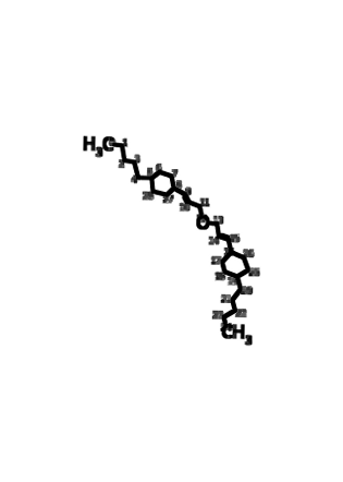 CCCCCC1CCC(C=CCOCC=CC2CCC(CCCCC)CC2)CC1